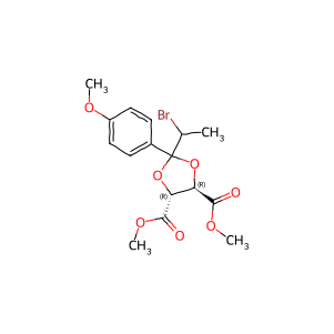 COC(=O)[C@@H]1OC(c2ccc(OC)cc2)(C(C)Br)O[C@H]1C(=O)OC